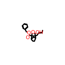 CCCCC1(C(=O)O)C2CCC(C2)C1(C)C(=O)OCc1ccccc1